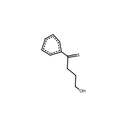 OCCCC(=S)c1ccccc1